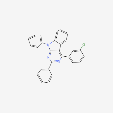 Clc1cccc(-c2nc(-c3ccccc3)nc3c2c2ccccc2n3-c2ccccc2)c1